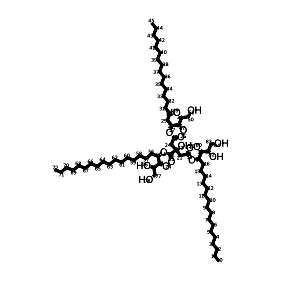 CCCCCCCCCCCCCCCCCC(OC(=O)CC(O)(CC(=O)OC(CCCCCCCCCCCCCCCCC)C(=O)C(O)CO)C(=O)OC(CCCCCCCCCCCCCCCCC)C(=O)C(O)CO)C(=O)C(O)CO